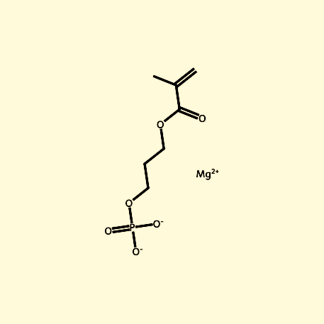 C=C(C)C(=O)OCCCOP(=O)([O-])[O-].[Mg+2]